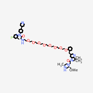 COC[C@H]1CN[C@H](C)CN1CC(=O)N1CC(C)(C)c2ncc(Cc3ccccc3OCCOCCOCCOCCOCCOCCOCCOCCN[C@H](Cc3cccc(F)c3)C(=O)Nc3ccc(-c4ccncc4)cc3)cc21